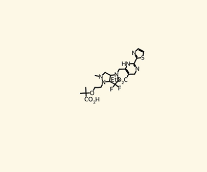 CCOC(=O)C1=C(CN2CC(F)(F)C3C2CN(C)N3CCOC(C)(C)C(=O)O)NC(c2nccs2)=NC1